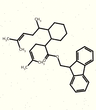 CC(C)=CCC(C)C1CCCCC1C(CC=C(C)C)C(=O)OCC1c2ccccc2-c2ccccc21